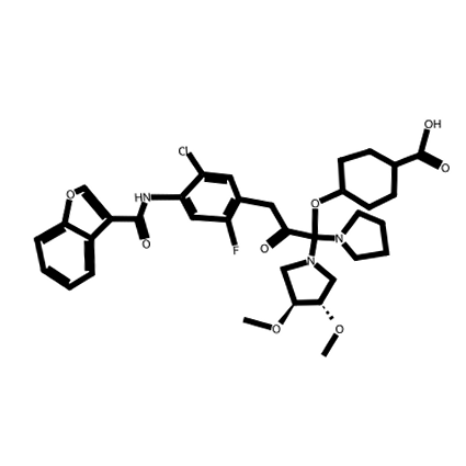 CO[C@H]1CN(C(OC2CCC(C(=O)O)CC2)(C(=O)Cc2cc(Cl)c(NC(=O)c3coc4ccccc34)cc2F)N2CCCC2)C[C@@H]1OC